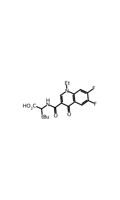 CCn1cc(C(=O)NC(C(=O)O)C(C)(C)C)c(=O)c2cc(F)c(F)cc21